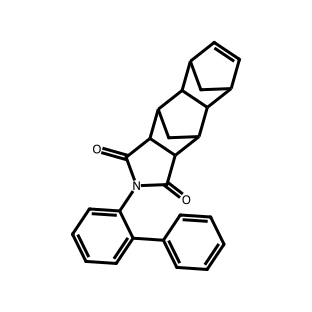 O=C1C2C3CC(C2C(=O)N1c1ccccc1-c1ccccc1)C1C2C=CC(C2)C31